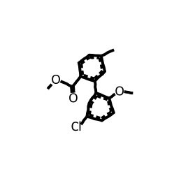 COC(=O)c1ccc(C)cc1-c1cc(Cl)ccc1OC